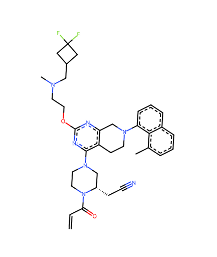 C=CC(=O)N1CCN(c2nc(OCCN(C)CC3CC(F)(F)C3)nc3c2CCN(c2cccc4cccc(C)c24)C3)C[C@@H]1CC#N